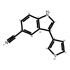 N#Cc1ccc2[nH]cc(-c3ccsc3)c2c1